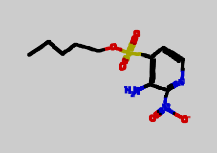 CCCCCOS(=O)(=O)c1ccnc([N+](=O)[O-])c1N